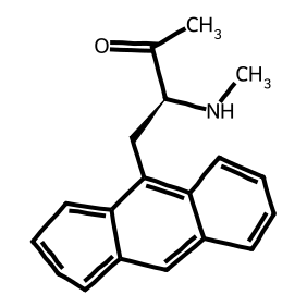 CN[C@@H](Cc1c2ccccc2cc2ccccc12)C(C)=O